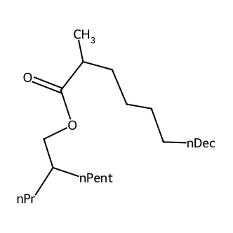 CCCCCCCCCCCCCCC(C)C(=O)OCC(CCC)CCCCC